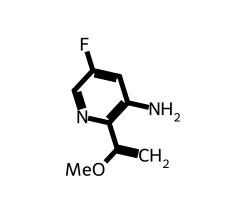 C=C(OC)c1ncc(F)cc1N